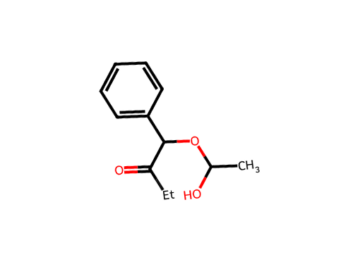 CCC(=O)C(OC(C)O)c1ccccc1